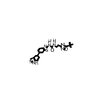 CC(C)(C)c1nc(CCNC(=O)Nc2nc3ccc(-c4ccc5[nH]ncc5c4)cc3s2)no1